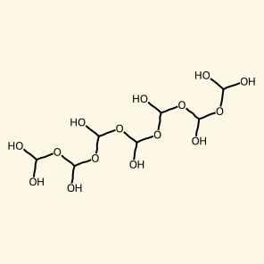 OC(O)OC(O)OC(O)OC(O)OC(O)OC(O)OC(O)O